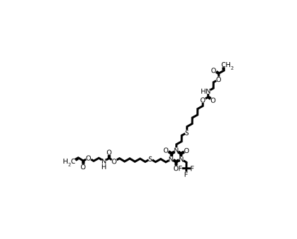 C=CC(=O)OCCNC(=O)OCCCCCCSCCCn1c(=O)n(CCCSCCCCCCOC(=O)NCCOC(=O)C=C)c(=O)n(CC(F)(F)F)c1=O